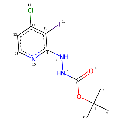 CC(C)(C)OC(=O)NNc1nccc(Cl)c1I